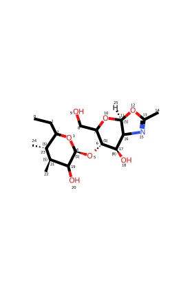 CCC1O[C@@H](O[C@@H]2C(CO)O[C@H]3OC(C)=NC3[C@H]2O)C(O)[C@@H](C)[C@@H]1C